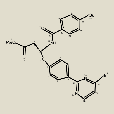 COC(=O)C[C@H](Cc1ccc(-c2nccc(Br)n2)cc1)NC(=O)c1ccc(C(C)(C)C)cc1